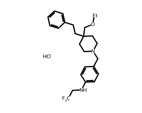 CCOCC1(CCc2ccccc2)CCN(Cc2ccc(NCC(F)(F)F)cc2)CC1.Cl